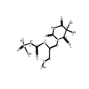 CCCCOCC(CN1C(=O)NC(=O)C(CCC)(CCC)C1=O)OC(=O)NP(=O)(O)O